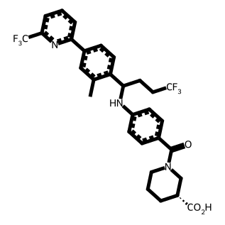 Cc1cc(-c2cccc(C(F)(F)F)n2)ccc1C(CCC(F)(F)F)Nc1ccc(C(=O)N2CCC[C@@H](C(=O)O)C2)cc1